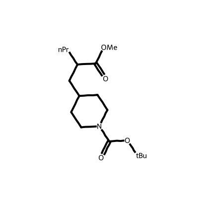 CCCC(CC1CCN(C(=O)OC(C)(C)C)CC1)C(=O)OC